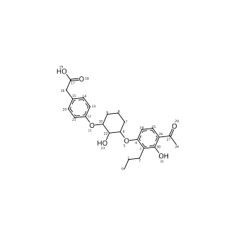 CCCc1c(OC2CCCC(Oc3ccc(CC(=O)O)cc3)C2O)ccc(C(C)=O)c1O